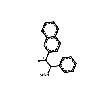 CC[C@@H](c1ccc2ccccc2n1)[C@H](NC(C)=O)c1ccccc1